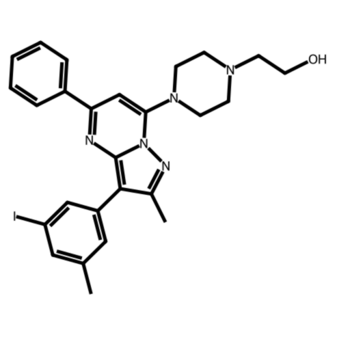 Cc1cc(I)cc(-c2c(C)nn3c(N4CCN(CCO)CC4)cc(-c4ccccc4)nc23)c1